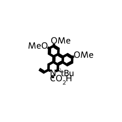 C=CC1Cc2c(c3ccc(OC)cc3c3cc(OC)c(OC)cc23)[C@H](C(C)(C)C)N1C(=O)O